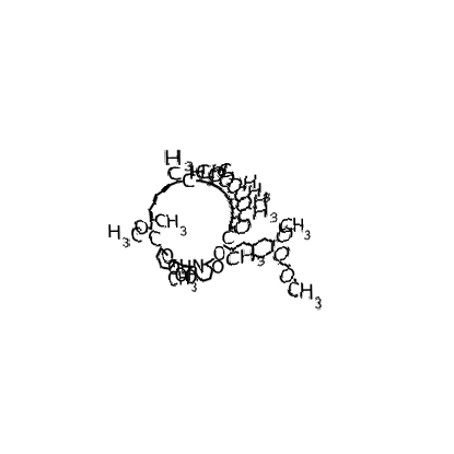 CCOCCOC1CCC(CC(C)C2CC(=O)C(C)C(O)C(C)C(O)C(OC)C(=O)C(C)CC(C)/C=C/C=C/C=C(\C)C(OC)CC3CCC(C)C(O)(O3)C(O)C(=O)N3CCCCC3C(=O)O2)CC1OC